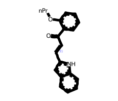 CCCOc1ccccc1C(=O)/C=C/c1cc2ccccc2[nH]1